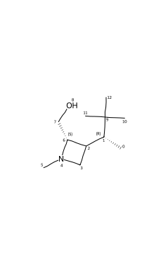 C[C@H](C1CN(C)[C@@H]1CO)C(C)(C)C